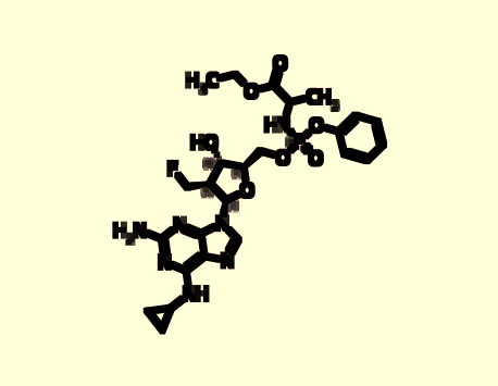 CCOC(=O)C(C)N[P@@](=O)(OC[C@H]1O[C@@H](n2cnc3c(NC4CC4)nc(N)nc32)[C@@H](CF)[C@@H]1O)Oc1ccccc1